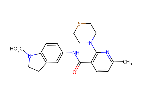 Cc1ccc(C(=O)Nc2ccc3c(c2)CCN3C(=O)O)c(N2CCSCC2)n1